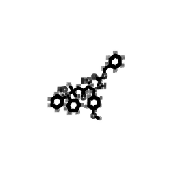 COc1ccc([C@@H](NC(=O)OCc2ccccc2)[C@@H](O)C(=O)CC(C)(C)[Si](O)(c2ccccc2)c2ccccc2)cc1